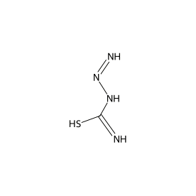 N=NNC(=N)S